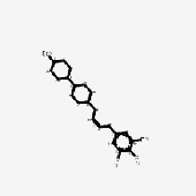 CCC1CCC(C2CCC(C/C=C\Cc3cc(F)c(F)c(F)c3)CC2)CC1